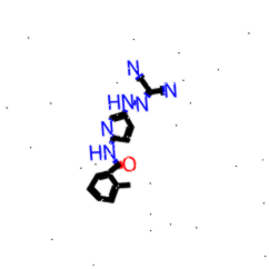 Cc1ccccc1C(=O)Nc1ccc(NN=C(C#N)C#N)cn1